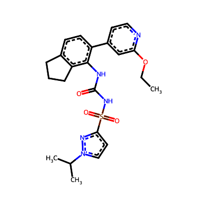 CCOc1cc(-c2ccc3c(c2NC(=O)NS(=O)(=O)c2ccn(C(C)C)n2)CCC3)ccn1